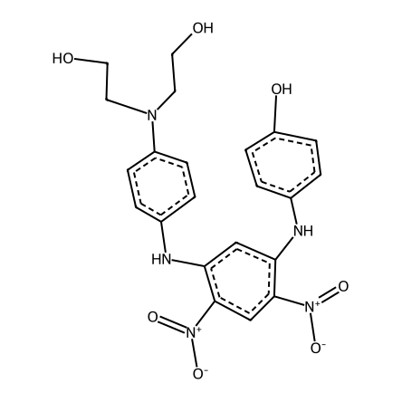 O=[N+]([O-])c1cc([N+](=O)[O-])c(Nc2ccc(N(CCO)CCO)cc2)cc1Nc1ccc(O)cc1